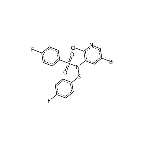 O=S(=O)(c1ccc(F)cc1)N(Sc1ccc(F)cc1)c1cc(Br)cnc1Cl